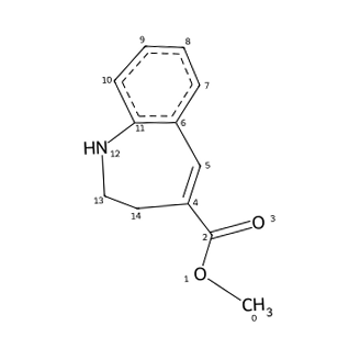 COC(=O)C1=Cc2ccccc2NCC1